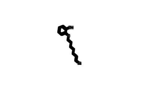 CCC=CCCCCCOc1ccccc1O